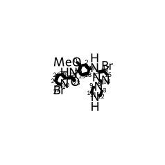 COc1cc(Nc2nc(N3CCNCC3)ncc2Br)ccc1NC(=O)c1cccc(Br)n1